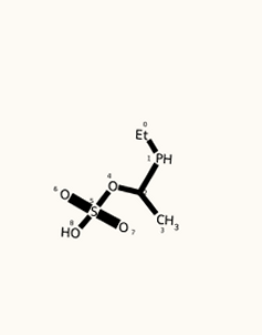 CCPC(C)OS(=O)(=O)O